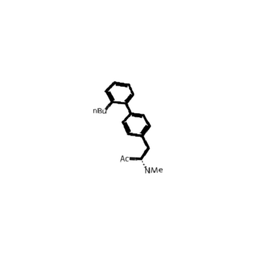 CCCCc1ccccc1-c1ccc(C[C@H](NC)C(C)=O)cc1